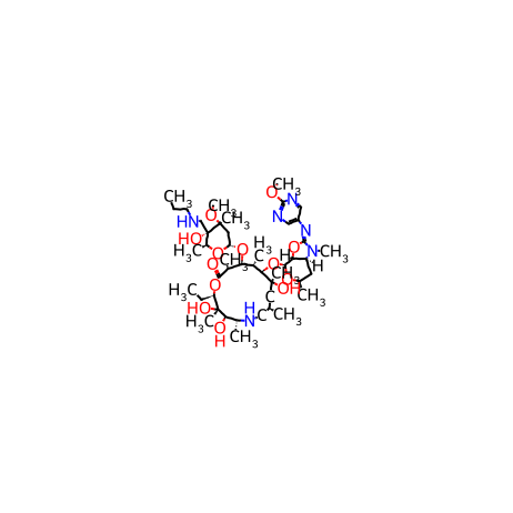 CCCNC[C@]1(O)[C@H](C)O[C@@H](O[C@H]2[C@H](C)[C@@H](O[C@@H]3O[C@H](C)C[C@H]4[C@H]3O/C(=N\c3cnc(OC)nc3)N4C)[C@](C)(O)C[C@@H](C)CN[C@H](C)[C@@H](O)[C@](C)(O)[C@@H](CC)OC(=O)[C@@H]2C)C[C@@]1(C)OC